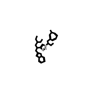 CCC(CC)CC(CC1=CC2C=CC=CC2C1)c1cn(C(CC)CC2=CC(C)C=CC=C2)nn1